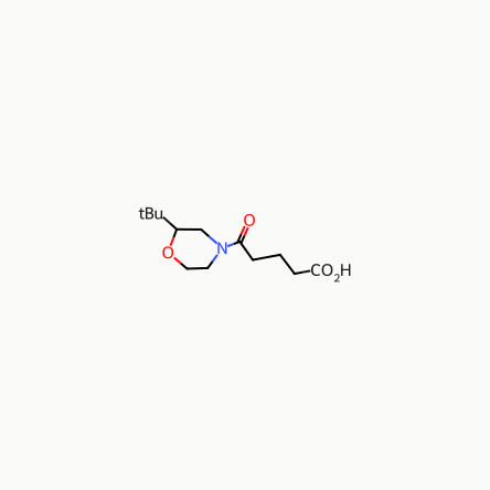 CC(C)(C)C1CN(C(=O)CCCC(=O)O)CCO1